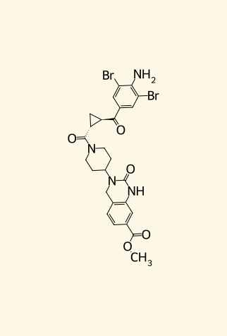 COC(=O)c1ccc2c(c1)NC(=O)N(C1CCN(C(=O)[C@@H]3C[C@H]3C(=O)c3cc(Br)c(N)c(Br)c3)CC1)C2